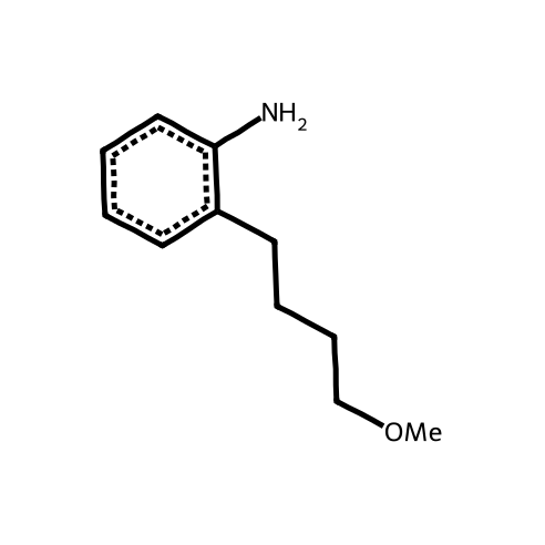 COCCCCc1ccccc1N